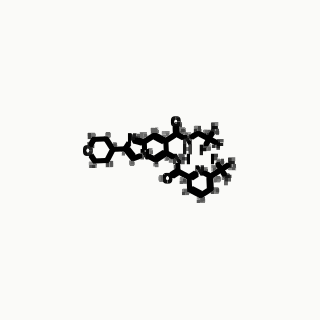 O=C(Nc1cn2cc(C3CCOCC3)nc2cc1C(=O)NCC(F)(F)F)c1cccc(C(F)(F)F)n1